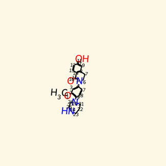 COc1cc(N2CCc3cc(O)ccc3C2=O)ccc1N1CCCNCC1